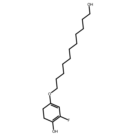 OCCCCCCCCCCCOC1=CC(F)=C(O)CC1